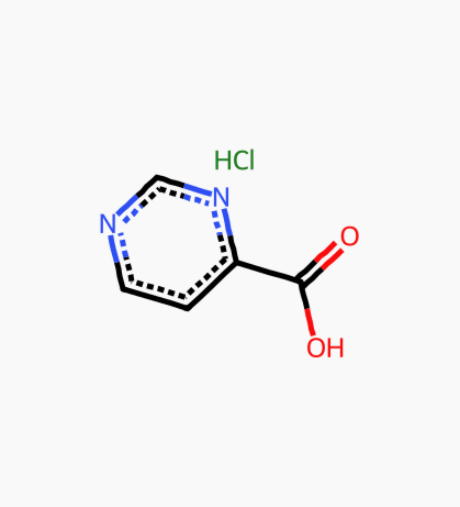 Cl.O=C(O)c1ccncn1